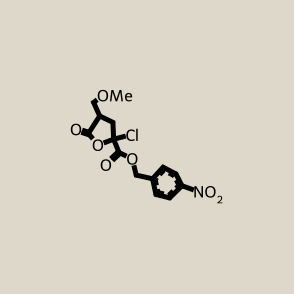 COCC1CC(Cl)(C(=O)OCc2ccc([N+](=O)[O-])cc2)OC1=O